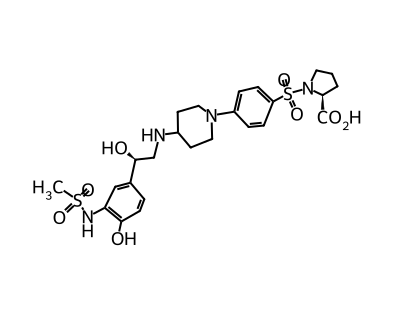 CS(=O)(=O)Nc1cc([C@@H](O)CNC2CCN(c3ccc(S(=O)(=O)N4CCC[C@H]4C(=O)O)cc3)CC2)ccc1O